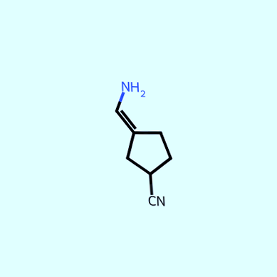 N#CC1CCC(=CN)C1